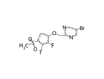 CS(=O)(=O)c1ccc(OCc2ncc(Br)cn2)c(F)c1F